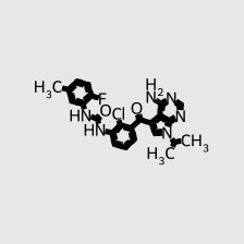 Cc1ccc(F)c(NC(=O)Nc2cccc(C(=O)c3cn(C(C)C)c4ncnc(N)c34)c2Cl)c1